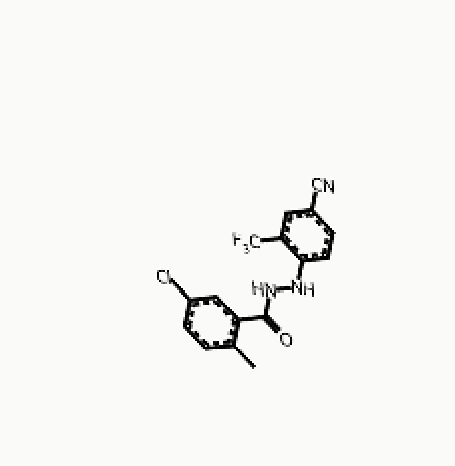 Cc1ccc(Cl)cc1C(=O)NNc1ccc(C#N)cc1C(F)(F)F